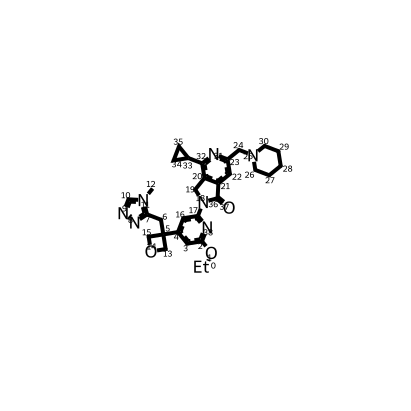 CCOc1cc(C2(Cc3nncn3C)COC2)cc(N2Cc3c(cc(CN4CCCCC4)nc3C3CC3)C2=O)n1